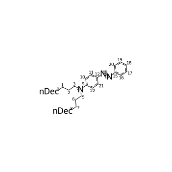 CCCCCCCCCCCCCN(CCCCCCCCCCCCC)c1ccc(/N=N/c2ccccc2)cc1